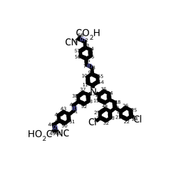 [C-]#[N+]/C(=C\c1ccc(/C=C/c2ccc(N(c3ccc(C=C(c4ccc(Cl)cc4)c4ccc(Cl)cc4)cc3)c3ccc(/C=C/c4ccc(/C=C(\[N+]#[C-])C(=O)O)cc4)cc3)cc2)cc1)C(=O)O